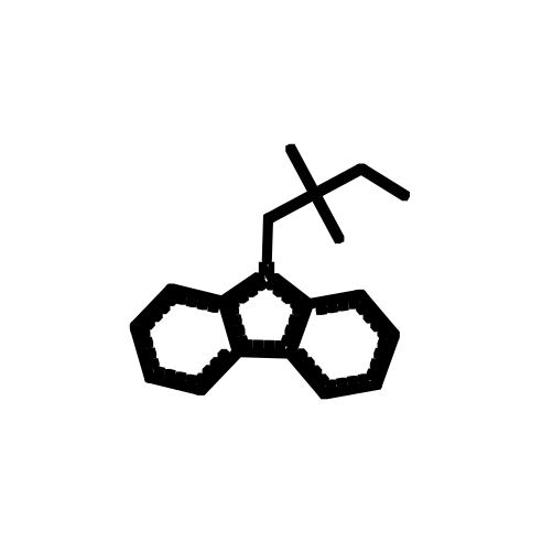 CCC(C)(C)Cn1c2ccccc2c2ccccc21